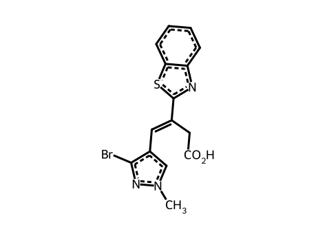 Cn1cc(/C=C(\CC(=O)O)c2nc3ccccc3s2)c(Br)n1